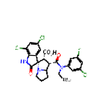 CC(C)(C)CN(C(=O)[C@@H]1C2CCCN2[C@@]2(C(=O)Nc3c(Cl)cc(Cl)cc32)[C@@H]1C(=O)O)c1cc(Cl)cc(Cl)c1